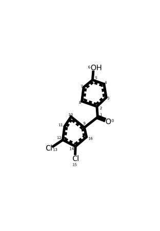 O=C(c1ccc(O)cc1)c1ccc(Cl)c(Cl)c1